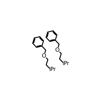 CC(C)CCOCc1ccccc1.CC(C)CCOCc1ccccc1